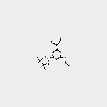 CCOc1cc(B2OC(C)(C)C(C)(C)O2)cc(C(=O)OC)c1